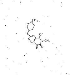 CN1CCC(Sc2ccc3[nH]c(=O)n(C)c(=O)c3c2)CC1